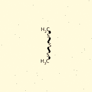 C=CSCCSCCSCC